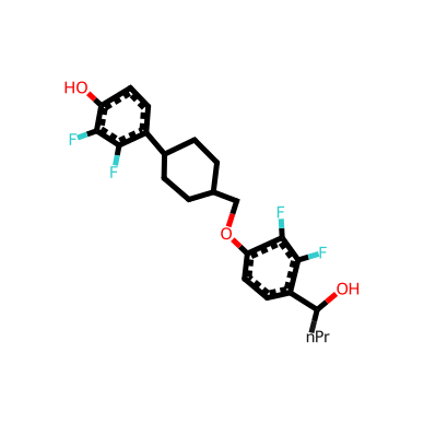 CCCC(O)c1ccc(OCC2CCC(c3ccc(O)c(F)c3F)CC2)c(F)c1F